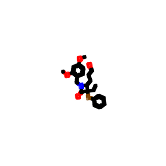 CCC1(Sc2ccccc2)C(=O)N(Cc2ccc(OC)cc2OC)C1CCC=O